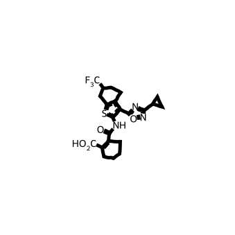 O=C(O)C1=C(C(=O)Nc2sc3c(c2-c2nc(C4CC4)no2)CCC(C(F)(F)F)C3)CCCC1